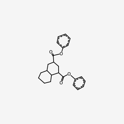 O=C(Oc1ccccc1)C1CC2CCCCC2C(C(=O)Oc2ccccc2)C1